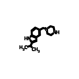 CC(C)c1cc2cc(CN3CCNCC3)ccc2[nH]1